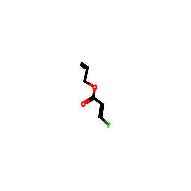 C=CCOC(=O)C=CF